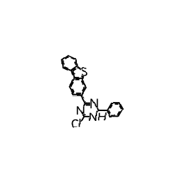 ClC1=NC(c2ccc3c(c2)sc2ccccc23)=NC(c2ccccc2)N1